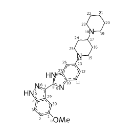 COc1ccc2[nH]nc(-c3nc4ccc(N5CCC(N6CCCCC6)CC5)cc4[nH]3)c2c1